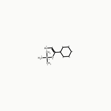 CC(=O)C=C(O[Si](C)(C)C)C1CCCCC1